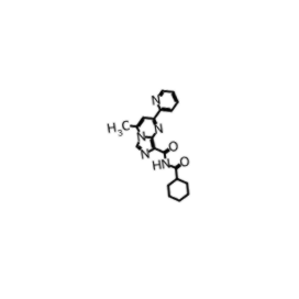 Cc1cc(-c2ccccn2)nc2c(C(=O)NC(=O)C3CCCCC3)ncn12